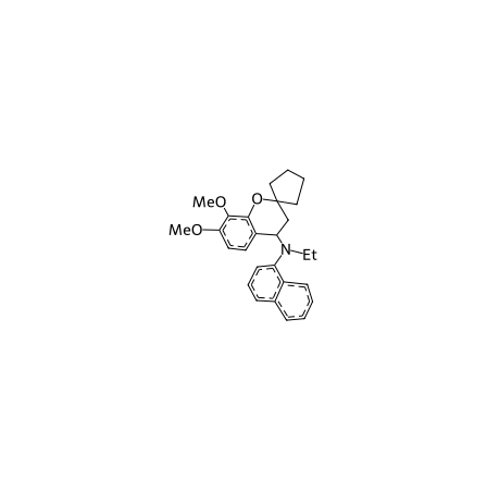 CCN(c1cccc2ccccc12)C1CC2(CCCC2)Oc2c1ccc(OC)c2OC